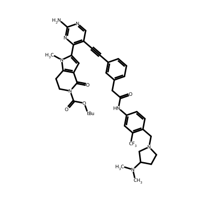 CN(C)C1CCN(Cc2ccc(NC(=O)Cc3cccc(C#Cc4cnc(N)nc4-c4cc5c(n4C)CCN(C(=O)OC(C)(C)C)C5=O)c3)cc2C(F)(F)F)C1